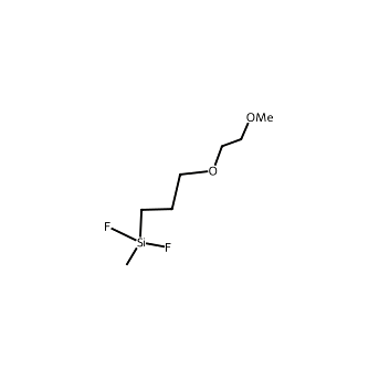 COCCOCCC[Si](C)(F)F